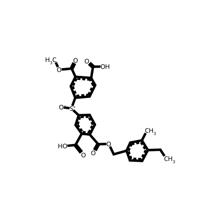 CCc1ccc(COC(=O)c2ccc([S+]([O-])c3ccc(C(=O)O)c(C(=O)OC)c3)cc2C(=O)O)cc1C